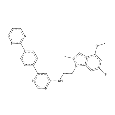 COc1cc(F)cc2c1cc(C)n2CCNc1cc(-c2ccc(-c3ncccn3)cc2)ncn1